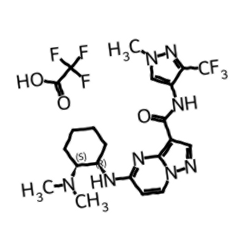 CN(C)[C@H]1CCCC[C@H]1Nc1ccn2ncc(C(=O)Nc3cn(C)nc3C(F)(F)F)c2n1.O=C(O)C(F)(F)F